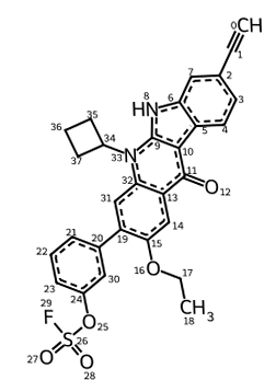 C#Cc1ccc2c(c1)[nH]c1c2c(=O)c2cc(OCC)c(-c3cccc(OS(=O)(=O)F)c3)cc2n1C1CCC1